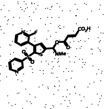 CNC(OC(=O)/C=C/C(=O)O)c1cc(-c2cccnc2F)c(S(=O)(=O)c2cccnc2)s1